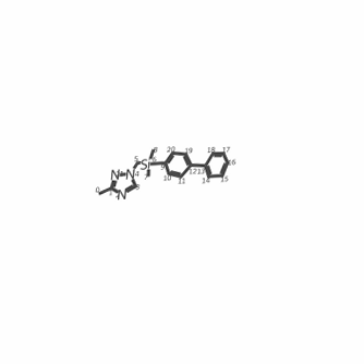 Cc1ncn(C[Si](C)(C)c2ccc(-c3ccccc3)cc2)n1